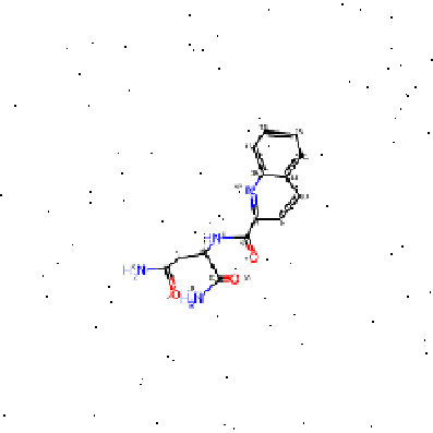 NC(=O)CC(NC(=O)c1ccc2ccccc2n1)C(N)=O